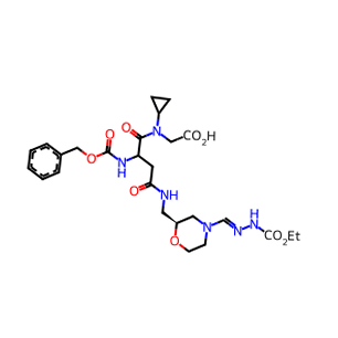 CCOC(=O)NN=CN1CCO[C@@H](CNC(=O)CC(NC(=O)OCc2ccccc2)C(=O)N(CC(=O)O)C2CC2)C1